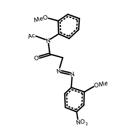 COc1cc([N+](=O)[O-])ccc1N=NCC(=O)N(C(C)=O)c1ccccc1OC